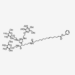 O=C(CCCCCCCCCCCCCCC(=O)OCc1ccccc1)NCCCCC(C(=O)NCCO[C@H]1O[C@H](CO)[C@@H](O)[C@H](O)[C@@H]1O)N(CC(=O)NCCO[C@H]1O[C@H](CO)[C@@H](O)[C@H](O)[C@@H]1O)CC(=O)NCCO[C@H]1O[C@H](CO)[C@@H](O)[C@H](O)[C@@H]1O